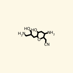 N#CCC1OC(CC(CN)CO)C(O)CC1N